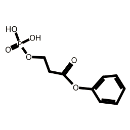 O=C(CCOP(=O)(O)O)Oc1ccccc1